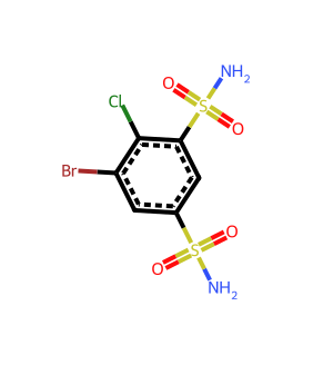 NS(=O)(=O)c1cc(Br)c(Cl)c(S(N)(=O)=O)c1